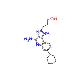 Nc1nc2cc(C3CCCCC3)ccc2c2[nH]c(CCCO)nc12